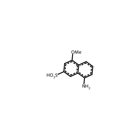 COc1cc(S(=O)(=O)O)cc2c(N)cccc12